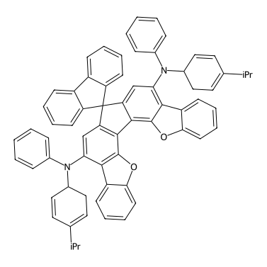 CC(C)C1=CCC(N(c2ccccc2)c2cc3c(c4oc5ccccc5c24)-c2c(cc(N(c4ccccc4)C4C=CC(C(C)C)=CC4)c4c2oc2ccccc24)C32c3ccccc3-c3ccccc32)C=C1